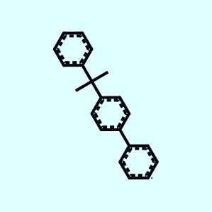 CC(C)(c1ccccc1)c1ccc(-c2cc[c]cc2)cc1